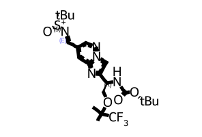 CC(C)(C)OC(=O)N[C@@H](COC(C)(C)C(F)(F)F)c1cn2ncc(/C=N/[S@+]([O-])C(C)(C)C)cc2n1